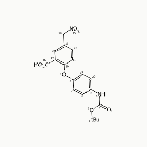 CC(C)(C)OC(=O)Nc1ccc(Oc2ccc(C[N+](=O)[O-])cc2C(=O)O)cc1